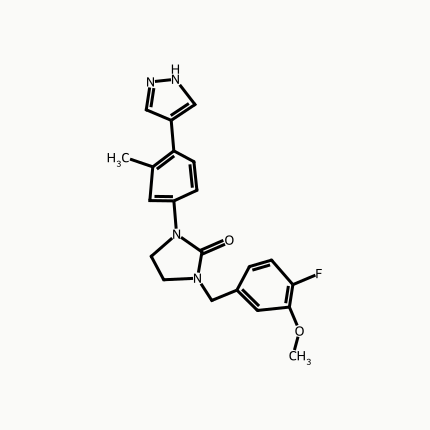 COc1cc(CN2CCN(c3ccc(-c4cn[nH]c4)c(C)c3)C2=O)ccc1F